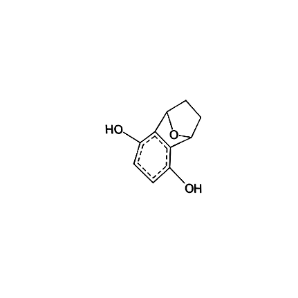 Oc1ccc(O)c2c1C1CCC2O1